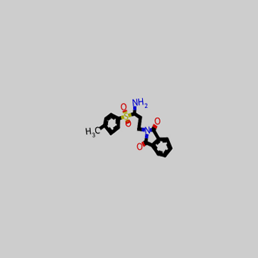 Cc1ccc(S(=O)(=O)C(N)CCN2C(=O)c3ccccc3C2=O)cc1